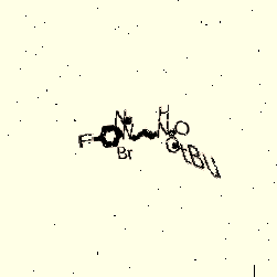 CC(C)(C)OC(=O)NCCCn1cnc2cc(F)cc(Br)c21